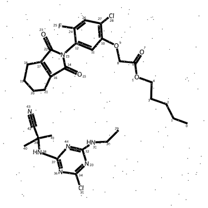 CCCCCOC(=O)COc1cc(N2C(=O)C3=C(CCCC3)C2=O)c(F)cc1Cl.CCNc1nc(Cl)nc(NC(C)(C)C#N)n1